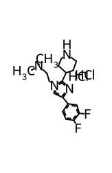 CN(C)CCn1cc(-c2ccc(F)c(F)c2)nc1C1CCNCC1.Cl.Cl